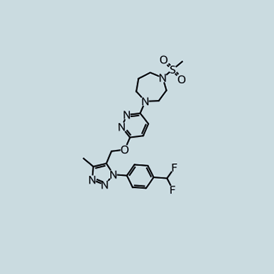 Cc1nnn(-c2ccc(C(F)F)cc2)c1COc1ccc(N2CCCN(S(C)(=O)=O)CC2)nn1